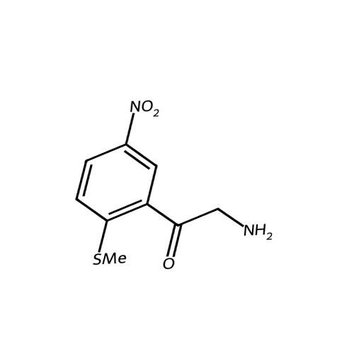 CSc1ccc([N+](=O)[O-])cc1C(=O)CN